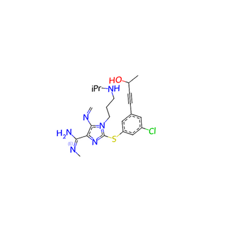 C=Nc1c(/C(N)=N\C)nc(Sc2cc(Cl)cc(C#CC(C)O)c2)n1CCCNC(C)C